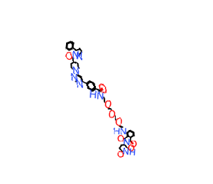 O=C1CCC(N2C(=O)c3cccc(NCCOCCOCCOCCNC(=O)c4ccc(-c5cc(N6CCC(C(=O)N7N=CCC7c7ccccc7)CC6)ncn5)cc4)c3C2=O)C(=O)N1